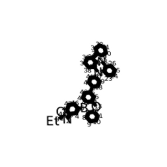 CCc1nc2cc(B3c4ccccc4Oc4cc(-c5ccc(N6c7ccccc7-n7c8ccccc8c8cccc6c87)cc5)ccc43)ccc2o1